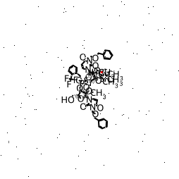 CO[C@@H]1[C@H](O[Si](C)(C)C(C)(C)C)[C@@H](COP(=S)(OCc2ccccc2C(F)(F)F)O[C@H]2[C@@H](OC)[C@H](n3ccc(=O)n(COCc4ccccc4)c3=O)O[C@@H]2CO)O[C@H]1n1ccc(=O)n(COCc2ccccc2)c1=O